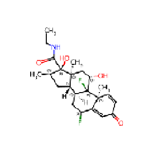 CCNC(=O)[C@@]1(O)[C@H](C)C[C@H]2[C@@H]3C[C@H](F)C4=CC(=O)C=C[C@]4(C)[C@@]3(F)[C@@H](O)C[C@@]21C